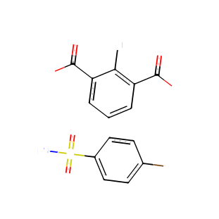 Cc1c(C(=O)O)cccc1C(=O)O.NS(=O)(=O)c1ccc(Br)cc1